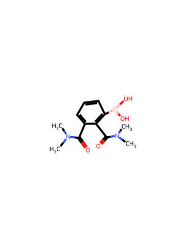 CN(C)C(=O)c1cccc(B(O)O)c1C(=O)N(C)C